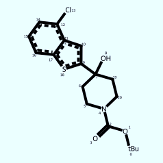 CC(C)(C)OC(=O)N1CCC(O)(c2cc3c(Cl)cccc3s2)CC1